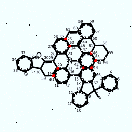 CC1(c2ccccc2)c2ccccc2-c2c(-c3ccccc3N(c3ccccc3C3=C4Oc5ccccc5C4CC=C3)c3ccccc3C3=c4c(C5CCCCC5)cccc4=CCC3)cccc21